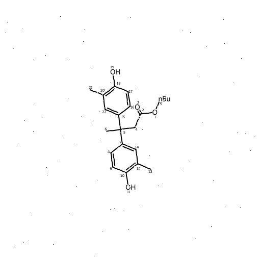 CCCCOC(=O)CC(C)(c1ccc(O)c(C)c1)c1ccc(O)c(C)c1